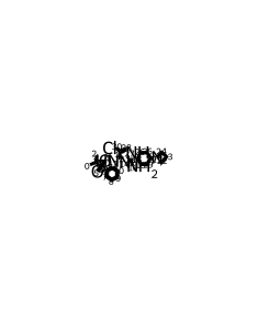 CC(C)S(=O)(=O)c1ccccc1NC1=NC(N)([C@H]2CC[C@H](N3CCC3)CC2)NC=C1Cl